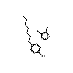 CCCCCCCc1ccc(O)cc1.Sc1nnsc1S